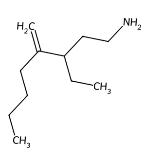 C=C(CCCC)C(CC)CCN